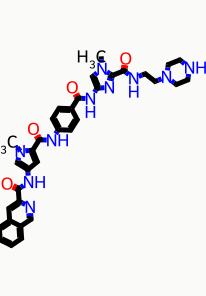 Cn1cc(NC(=O)c2cc3ccccc3cn2)cc1C(=O)Nc1ccc(C(=O)Nc2cn(C)c(C(=O)NCCN3CCNCC3)n2)cc1